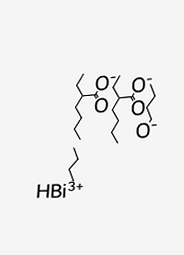 CCCCC(CC)C(=O)[O-].CCCCC(CC)C(=O)[O-].CCCC[O-].CCC[CH2][BiH+3]